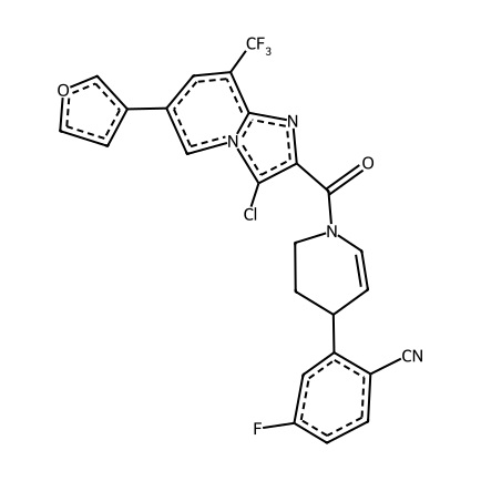 N#Cc1ccc(F)cc1C1C=CN(C(=O)c2nc3c(C(F)(F)F)cc(-c4ccoc4)cn3c2Cl)CC1